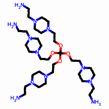 NCCN1CCN(CCOC(OCCN2CCN(CCN)CC2)(OCCN2CCN(CCN)CC2)OCCN2CCN(CCN)CC2)CC1